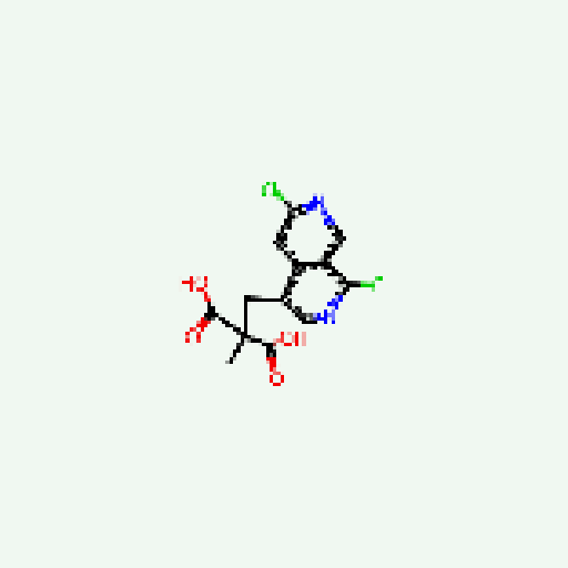 CC(Cc1cnc(Cl)c2cnc(Cl)cc12)(C(=O)O)C(=O)O